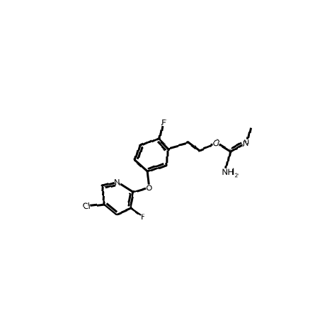 C/N=C(/N)OCCc1cc(Oc2ncc(Cl)cc2F)ccc1F